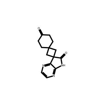 O=C1CCC2(CC1)CC1(C2)C(=O)Nc2nccnc21